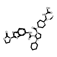 O=C(O)N[C@H](CF)[C@H]1CC[C@H](C(=O)N2CC[C@@H](C3CCCCC3)[C@H]2C(=O)Nc2ccc3nc(N4CCOC4=O)sc3c2)CC1